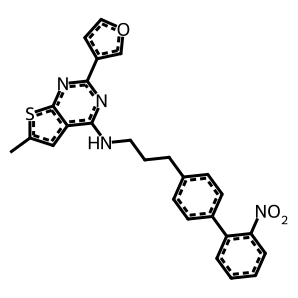 Cc1cc2c(NCCCc3ccc(-c4ccccc4[N+](=O)[O-])cc3)nc(-c3ccoc3)nc2s1